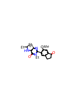 CCc1nc(-c2cc3c(cc2OC)C(=O)CC3)n(CC)c(=O)c1NC(CC)CC